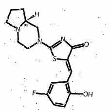 O=C1N=C(N2CCN3CCC[C@@H]3C2)SC1=Cc1cc(F)ccc1O